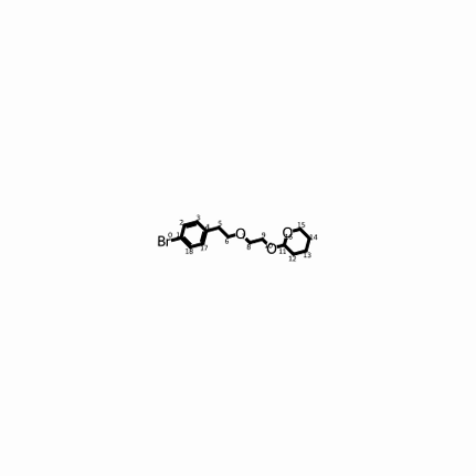 Brc1ccc(CCOCCOC2CCCCO2)cc1